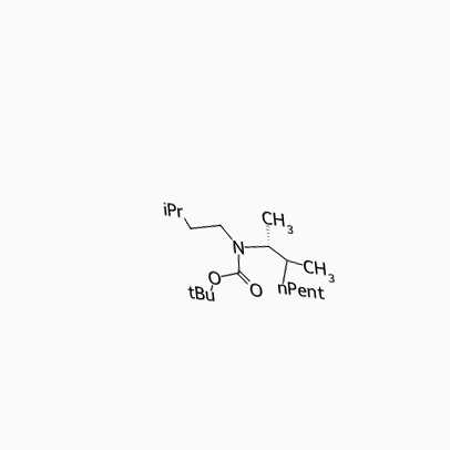 CCCCCC(C)[C@@H](C)N(CCC(C)C)C(=O)OC(C)(C)C